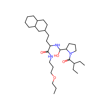 CCCOCCCNC(=O)C(CCC1CCC2CCCCC2C1)NC(O)C1CCCN1C(=O)C(CC)CC